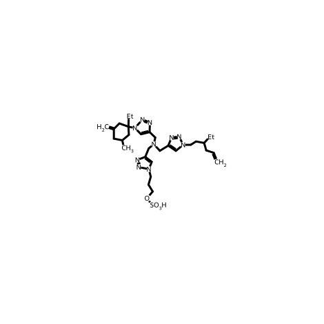 C=CCC(CC)CCn1cc(CN(Cc2cn(CCCOS(=O)(=O)O)nn2)Cc2cn(C3(CC)CC(=C)CC(C)C3)nn2)nn1